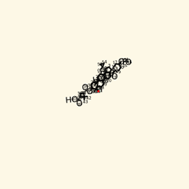 CC1([C@@H]2CC[C@]3(C(=O)N4CCC(OP(C)(C)=O)CC4)CC[C@]4(C)[C@H](CC[C@@H]5[C@@]6(C)CC[C@H](OC(=O)[C@H]7C[C@@H](C(=O)O)C7(C)C)C(C)(C)[C@@H]6CC[C@]54C)[C@@H]23)CC1